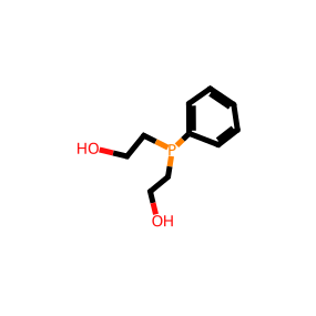 OCCP(CCO)c1ccccc1